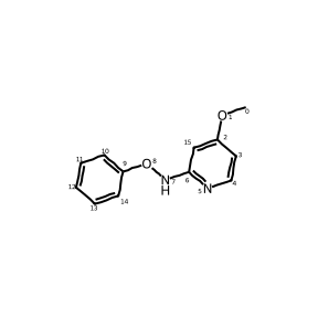 COc1ccnc(NOc2ccccc2)c1